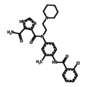 Cc1cc(N(CCN2CCCCC2)C(=O)c2nc[nH]c2C(N)=O)ccc1NC(=O)c1ccccc1Cl